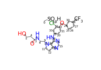 CS(=O)(=O)O.O=C(CCO)NCCn1ccc2ncnc(Nc3ccc(Oc4cccc(C(F)(F)F)c4)c(Cl)c3)c21